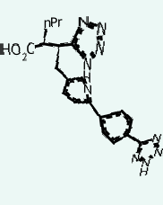 CCC[C@H](C(=O)O)[C@H](Cc1ccc(-c2ccc(-c3nn[nH]n3)cc2)nc1)c1nnn[nH]1